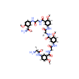 COc1ccc(NC(=O)CNC(=O)c2cc(NC(=O)[C@@H](C)NC(=O)c3cc(NC(=O)CNC(=O)c4cc(NC(=O)[C@@H](C)N)ccc4OC)ccc3OC)ccc2OC)cc1C(N)=O